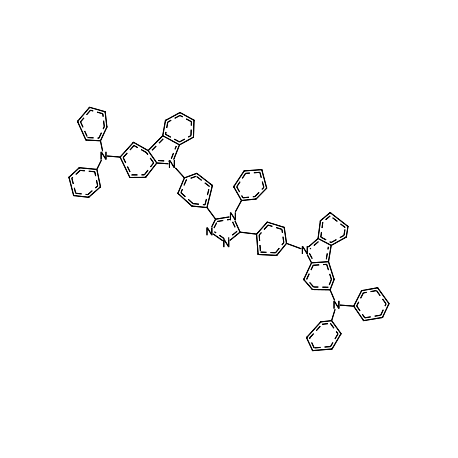 c1ccc(N(c2ccccc2)c2ccc3c(c2)c2ccccc2n3-c2ccc(-c3nnc(-c4ccc(-n5c6ccccc6c6cc(N(c7ccccc7)c7ccccc7)ccc65)cc4)n3-c3ccccc3)cc2)cc1